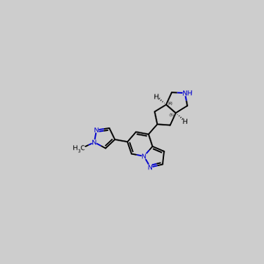 Cn1cc(-c2cc(C3C[C@H]4CNC[C@H]4C3)c3ccnn3c2)cn1